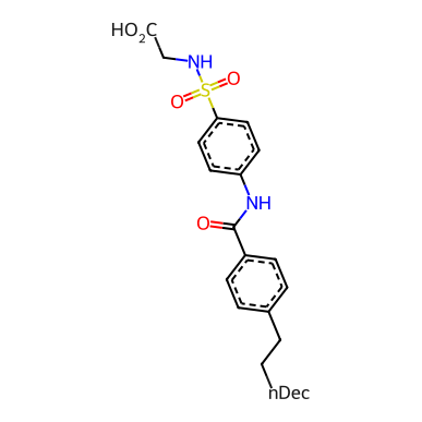 CCCCCCCCCCCCc1ccc(C(=O)Nc2ccc(S(=O)(=O)NCC(=O)O)cc2)cc1